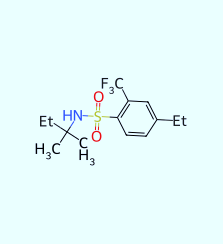 CCc1ccc(S(=O)(=O)NC(C)(C)CC)c(C(F)(F)F)c1